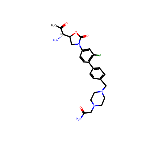 CC(=O)[C@@H](N)C1CN(c2ccc(-c3ccc(CN4CCN(CC(N)=O)CC4)cc3)c(F)c2)C(=O)O1